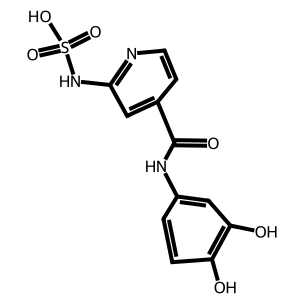 O=C(Nc1ccc(O)c(O)c1)c1ccnc(NS(=O)(=O)O)c1